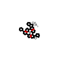 CC1(C)c2ccccc2-c2c(-c3ccccc3N(c3ccccc3-c3ccc(C4C=CC=CC4)cc3)c3ccccc3-c3cccc4oc5ccccc5c34)cccc21